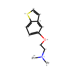 CC(C)N(CCOc1ccc2sccc2c1)C(C)C